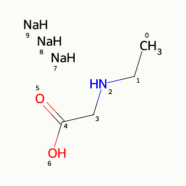 CCNCC(=O)O.[NaH].[NaH].[NaH]